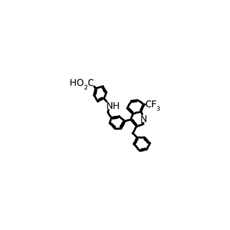 O=C(O)c1ccc(NCc2cccc(-c3c(Cc4ccccc4)cnc4c(C(F)(F)F)cccc34)c2)cc1